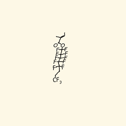 CC=C(C)C(=O)OC(F)(F)C(F)(F)C(F)(F)C(F)(F)C(F)(F)CCC(F)(F)F